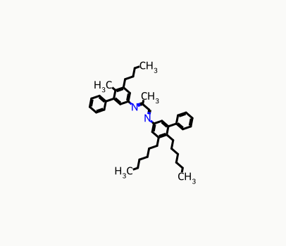 CCCCCCc1cc(N=CC(C)=Nc2cc(CCCC)c(C)c(-c3ccccc3)c2)cc(-c2ccccc2)c1CCCCCC